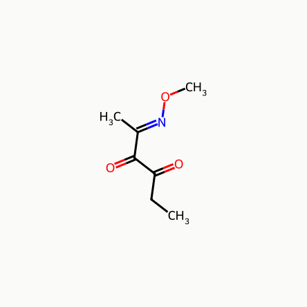 CCC(=O)C(=O)C(C)=NOC